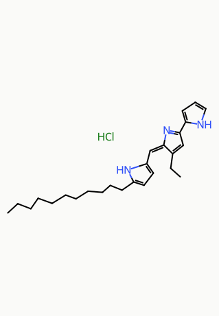 CCCCCCCCCCCc1ccc(C=C2N=C(c3ccc[nH]3)C=C2CC)[nH]1.Cl